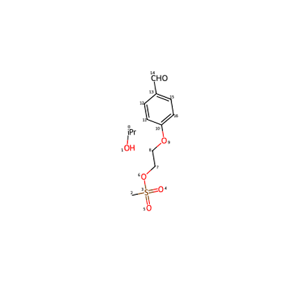 CC(C)O.CS(=O)(=O)OCCOc1ccc(C=O)cc1